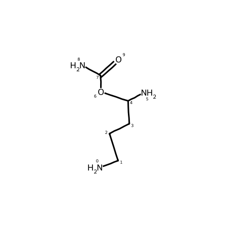 NCCCC(N)OC(N)=O